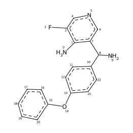 Nc1c(F)cncc1C(N)c1ccc(Oc2ccccc2)cc1